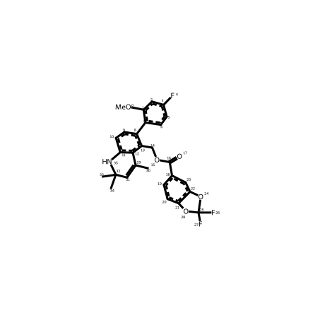 COc1cc(F)ccc1-c1ccc2c(c1COC(=O)c1ccc3c(c1)OC(F)(F)O3)C(C)=CC(C)(C)N2